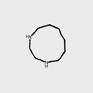 C1CCCNCCNCC1